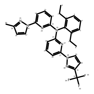 CCc1cccc(CC)c1N(c1cccc(-n2ccc(C)n2)n1)c1cccc(-n2ccc(C(F)(F)F)n2)n1